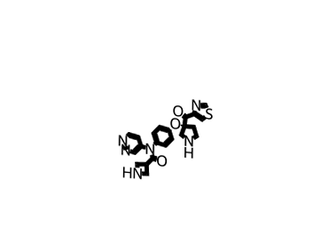 O=C(C1CNC1)N(c1ccc(O[C@]2(C(=O)c3cscn3)CCNC2)cc1)c1ccnnc1